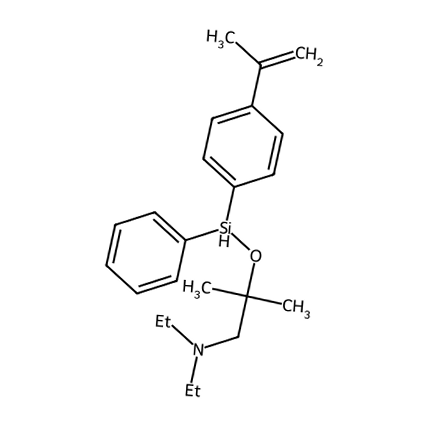 C=C(C)c1ccc([SiH](OC(C)(C)CN(CC)CC)c2ccccc2)cc1